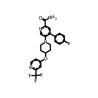 NC(=O)c1cc(-c2ccc(F)cc2)c(N2CCC(Oc3ccnc(C(F)(F)F)c3)CC2)cn1